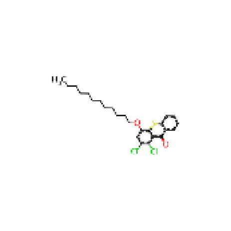 CCCCCCCCCCCCOc1cc(Cl)c(Cl)c2c(=O)c3ccccc3sc12